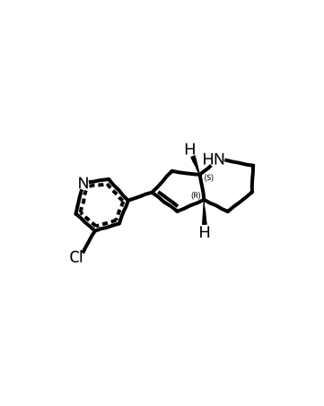 Clc1cncc(C2=C[C@H]3CCCN[C@H]3C2)c1